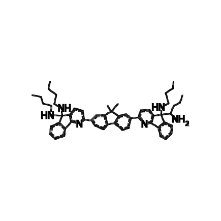 CCCCNC1(NCCCC)c2ccccc2-c2nc(-c3ccc4c(c3)C(C)(C)c3cc(-c5ccc6c(n5)-c5ccccc5C6(NCCCC)C(N)CCC)ccc3-4)ccc21